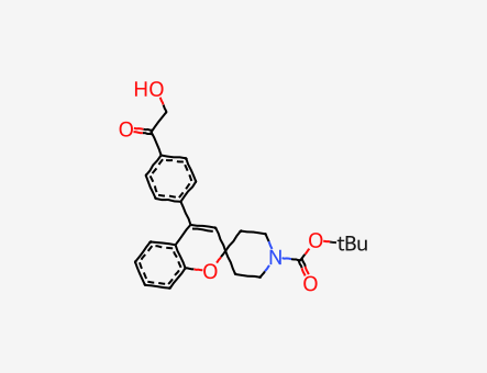 CC(C)(C)OC(=O)N1CCC2(C=C(c3ccc(C(=O)CO)cc3)c3ccccc3O2)CC1